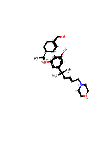 C=C(C)[C@H]1CCC(CO)=C[C@@H]1c1c(O)cc(C(C)(C)CCCCN2CCOCC2)cc1O